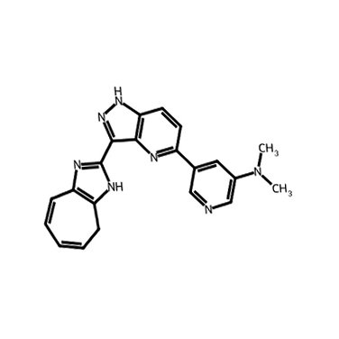 CN(C)c1cncc(-c2ccc3[nH]nc(-c4nc5c([nH]4)CC=CC=C5)c3n2)c1